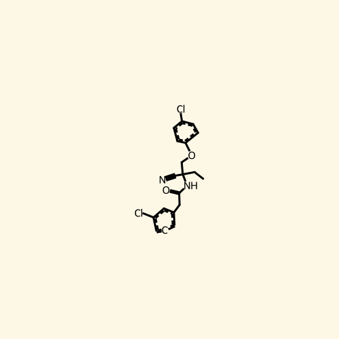 CCC(C#N)(COc1ccc(Cl)cc1)NC(=O)Cc1cccc(Cl)c1